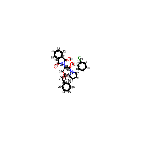 CC(C)(C#N)[C@H]1CC[C@@H](c2cccc(Cl)c2)N1C(=O)[C@@H](COCc1ccccc1)N1C(=O)c2ccccc2C1=O